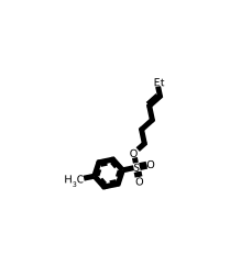 CCC=CCCCOS(=O)(=O)c1ccc(C)cc1